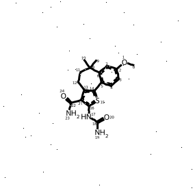 COc1ccc2c(c1)C(C)(C)CCc1c-2sc(NC(N)=O)c1C(N)=O